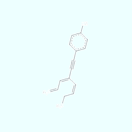 C=C/C=C(C#Cc1ccc(O)cc1)\C=C/CC